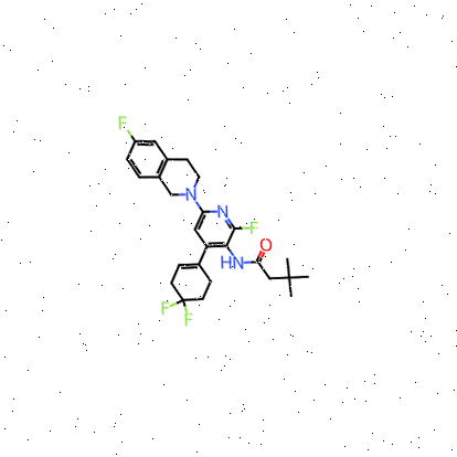 CC(C)(C)CC(=O)Nc1c(C2=CCC(F)(F)CC2)cc(N2CCc3cc(F)ccc3C2)nc1F